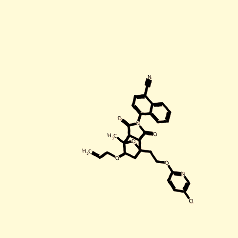 C=CCOC1CC2(CCOc3ccc(Cl)cn3)OC1(C)C1C(=O)N(c3ccc(C#N)c4ccccc34)C(=O)C12